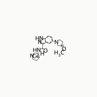 CO[C@H]1CCN(c2ccc3[nH]nc(C(=O)N[C@@H]4CN5CCC4CC5)c3c2)C1